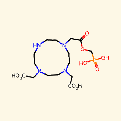 O=C(O)CN1CCNCCN(CC(=O)OCP(=O)(O)O)CCN(CC(=O)O)CC1